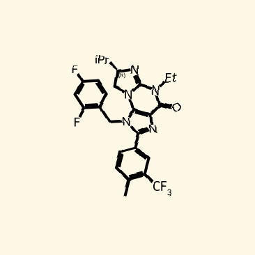 CCN1C(=O)c2nc(-c3ccc(C)c(C(F)(F)F)c3)n(Cc3ccc(F)cc3F)c2N2C[C@@H](C(C)C)N=C12